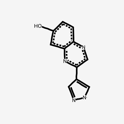 Oc1ccc2ncc(C3=C[N]N=C3)nc2c1